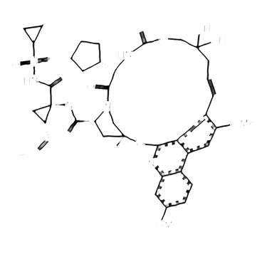 C=C[C@@H]1C[C@]1(NC(=O)[C@@H]1C[C@@H]2CN1C(=O)[C@H](C1CCCC1)NC(=O)OCC(C)(C)C/C=C/c1cc3c(nc4cc(OC)ccc4c3cc1OC)O2)C(=O)NS(=O)(=O)C1CC1